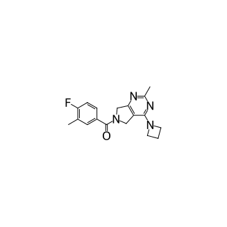 Cc1nc2c(c(N3CCC3)n1)CN(C(=O)c1ccc(F)c(C)c1)C2